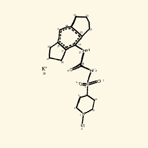 CCN1CCC(S(=O)(=O)[N-]C(=O)Nc2c3c(cc4c2CCC4)CCC3)CC1.[K+]